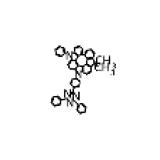 CC1(C)c2cccc3c4cccc5c4c4c6c7c(c1ccc7n(-c1ccc(-c7nc(-c8ccccc8)nc(-c8ccccc8)n7)cc1)c6ccc4n5-c1ccccc1)c23